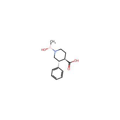 CB(O)N1CC[C@@H](C(=O)O)[C@H](c2ccccc2)C1